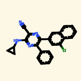 N#Cc1nc(-c2cc(Cl)c3ccccc3c2)c(-c2ccccc2)nc1NC1CC1